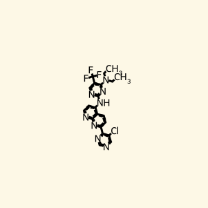 CCN(CC)c1nc(Nc2ccnc3nc(-c4ncncc4Cl)ccc23)ncc1C(F)(F)F